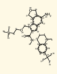 CN1CC[C@@H](N(C)C(=O)c2cc3nc(N)c4c(c3n2COCC[Si](C)(C)C)COC4)c2ccc(C(F)(F)F)cc21